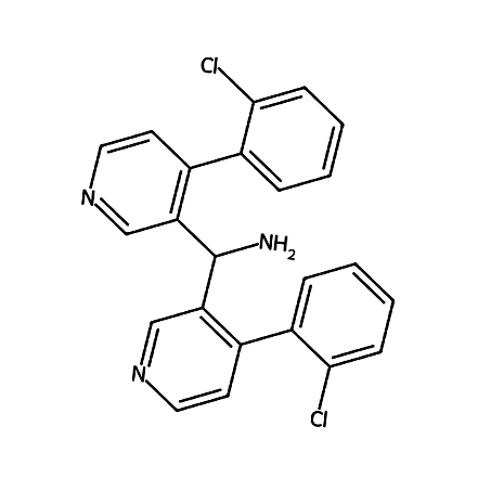 NC(c1cnccc1-c1ccccc1Cl)c1cnccc1-c1ccccc1Cl